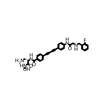 NC[C@H](NC(=O)c1ccc(C#CC#Cc2ccc(NC(=O)CNCc3ccccc3F)cc2)cc1)C(=O)NO